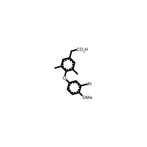 COc1ccc(Oc2c(C)cc(CC(=O)O)cc2C)cc1C(C)C